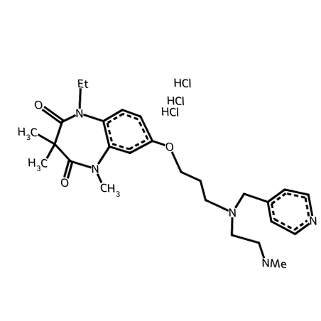 CCN1C(=O)C(C)(C)C(=O)N(C)c2cc(OCCCN(CCNC)Cc3ccncc3)ccc21.Cl.Cl.Cl